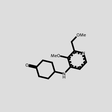 COCc1nccc(NC2CCC(=O)CC2)c1OC